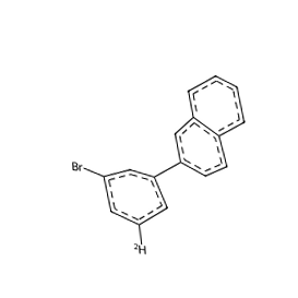 [2H]c1cc(Br)cc(-c2ccc3ccccc3c2)c1